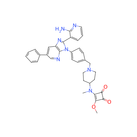 COc1c(N(C)C2CCN(Cc3ccc(-n4c(-c5cccnc5N)nc5cc(-c6ccccc6)cnc54)cc3)CC2)c(=O)c1=O